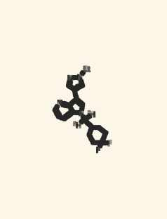 [2H]C([2H])(C1CCC(F)(F)CC1)n1cc(-c2cnn(CC)c2)c2ncccc21